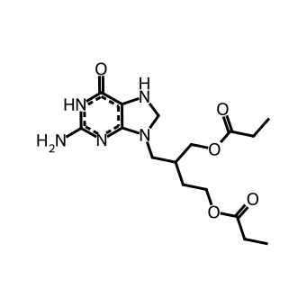 CCC(=O)OCCC(COC(=O)CC)CN1CNc2c1nc(N)[nH]c2=O